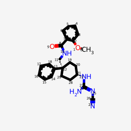 COc1ccccc1C(=O)NC[C@]1(c2ccccc2)CC[C@H](N/C(N)=N/C#N)CC1